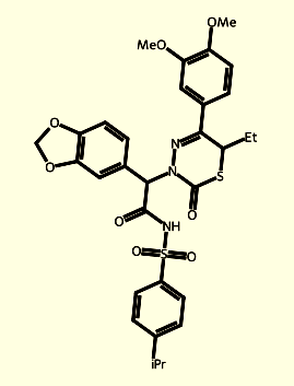 CCC1SC(=O)N(C(C(=O)NS(=O)(=O)c2ccc(C(C)C)cc2)c2ccc3c(c2)OCO3)N=C1c1ccc(OC)c(OC)c1